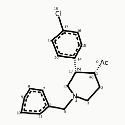 CC(=O)[C@@H]1CCN(Cc2ccccc2)C[C@@H]1c1ccc(Cl)cc1